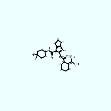 O=C(NC1CCC(F)(F)CC1)c1c(NC(=O)C2CCCCC2C(O)O)sc2c1CCC2